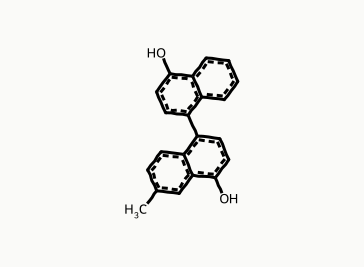 Cc1ccc2c(-c3ccc(O)c4ccccc34)ccc(O)c2c1